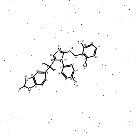 CC1Oc2ccc(C(C)(C)c3cnc(SCc4c(Cl)cccc4Cl)n3-c3ccc(F)cc3)cc2O1